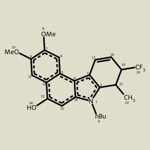 CCCCn1c2c(c3c4cc(OC)c(OC)cc4c(O)cc31)C=CC(C(F)(F)F)C2C